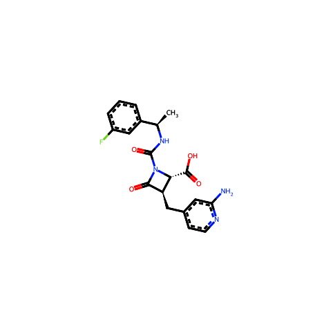 C[C@@H](NC(=O)N1C(=O)[C@H](Cc2ccnc(N)c2)[C@H]1C(=O)O)c1cccc(F)c1